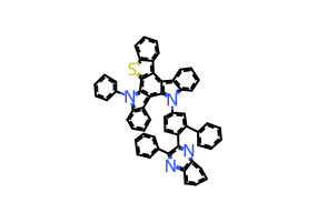 c1ccc(-c2cc(-n3c4ccccc4c4c5c6ccccc6sc5c5c(c6ccccc6n5-c5ccccc5)c43)ccc2-c2nc3ccccc3nc2-c2ccccc2)cc1